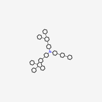 c1ccc(-c2ccc(-c3ccc(N(c4ccc(-c5ccc(-c6ccccc6)c(-c6ccccc6)c5)cc4)c4ccc(-c5ccc6c(-c7ccccc7)c(-c7ccccc7)c7ccccc7c6c5)cc4)cc3)cc2)cc1